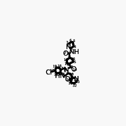 O=C(Nc1ccccn1)c1ccc(C(=O)N2Cc3ccc(Cl)cc3NC(=O)C2Cc2ccccn2)cc1